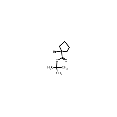 CC(C)(C)OC(=O)C1(Br)CCCC1